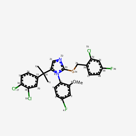 COc1cc(F)ccc1-n1c(C(C)(C)c2ccc(Cl)c(Cl)c2)cnc1SCc1ccc(F)cc1Cl